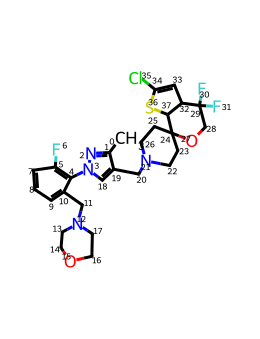 Cc1nn(-c2c(F)cccc2CN2CCOCC2)cc1CN1CCC2(CC1)OCC(F)(F)C1C=C(Cl)SC12